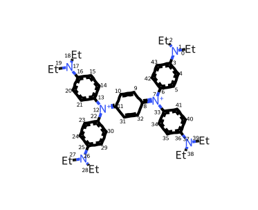 CCN(CC)c1ccc([N+](=C2C=CC(=[N+](c3ccc(N(CC)CC)cc3)c3ccc(N(CC)CC)cc3)C=C2)c2ccc(N(CC)CC)cc2)cc1